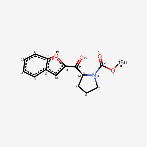 CC(C)(C)OC(=O)N1CCC[C@H]1C(=O)c1cc2ccccc2o1